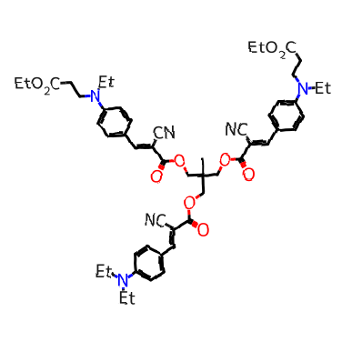 CCOC(=O)CCN(CC)c1ccc(/C=C(\C#N)C(=O)OCC(C)(COC(=O)/C(C#N)=C/c2ccc(N(CC)CC)cc2)COC(=O)/C(C#N)=C/c2ccc(N(CC)CCC(=O)OCC)cc2)cc1